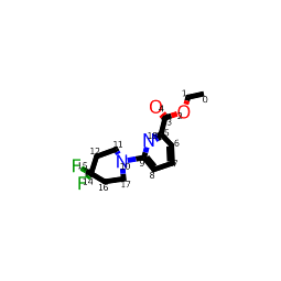 CCOC(=O)c1cccc(N2CCC(F)(F)CC2)n1